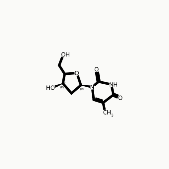 Cc1cn([C@H]2C[C@@H](O)C(CO)O2)c(=O)[nH]c1=O